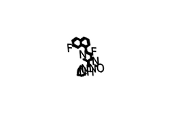 COc1nc(N2CC3CC(C2)N3)c2cnc(-c3cccc4ccc(F)cc34)c(F)c2n1